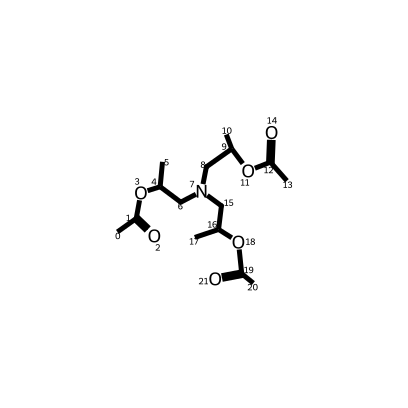 CC(=O)OC(C)CN(CC(C)OC(C)=O)CC(C)OC(C)=O